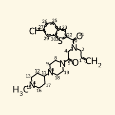 C=CCN(CC(=O)N1CCN(C2CCN(C)CC2)CC1)C(=O)c1cc2ccc(Cl)cc2s1